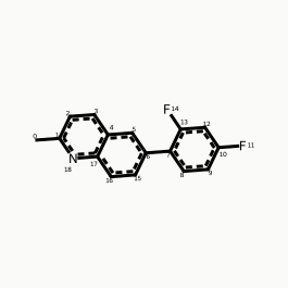 Cc1ccc2cc(-c3ccc(F)cc3F)ccc2n1